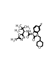 CC(C)(C)[C@H](NC(=O)n1c(=O)n(CC2CCOCC2)c2cc(F)ccc21)c1nnc(N)o1